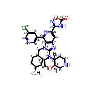 CC1CCC(Cn2c(N3CCO[C@@H]4CNCC[C@H]43)nc3cc(-c4noc(=O)[nH]4)nc(-c4cncc(Cl)c4)c32)CC1